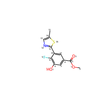 COC(=O)c1cc(O)c(F)c(-c2ncc(C)s2)c1